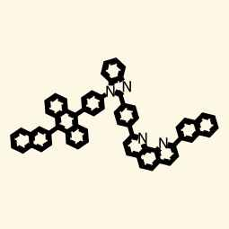 c1ccc2cc(-c3ccc4ccc5ccc(-c6ccc(-c7nc8ccccc8n7-c7ccc(-c8c9ccccc9c(-c9ccc%10ccccc%10c9)c9ccccc89)cc7)cc6)nc5c4n3)ccc2c1